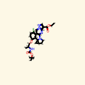 CCOC(=O)c1cnn2ccc(N3CCC4CC43c3cc(F)ccc3OCC(C)NC(=O)OC(C)(C)C)nc12